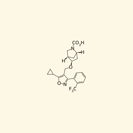 O=C(O)N1C[C@@H]2C[C@H]1C[C@H]2OCc1c(-c2ccccc2C(F)(F)F)noc1C1CC1